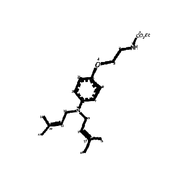 CCOC(=O)NCCOc1ccc(N(CC=C(C)C)CC=C(C)C)cc1